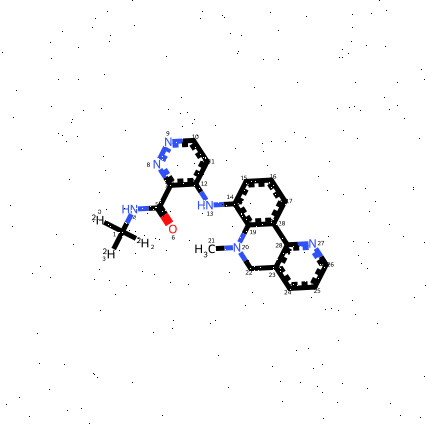 [2H]C([2H])([2H])NC(=O)c1nnccc1Nc1cccc2c1N(C)Cc1cccnc1-2